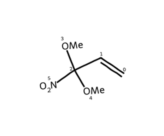 C=CC(OC)(OC)[N+](=O)[O-]